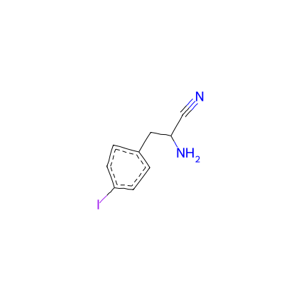 N#CC(N)Cc1ccc(I)cc1